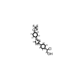 OCC(Cl)c1ccc(-c2ncn(-c3ccc(OC(F)(F)F)cc3)n2)cc1